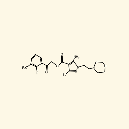 CCc1nn(CCN2CCOCC2)c(N)c1C(=O)OCC(=O)c1cccc(C(F)(F)F)c1F